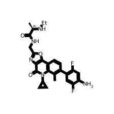 CCN[C@H](C)C(=O)NCc1nc2c(=O)n(C3CC3)c3c(C)c(-c4cc(F)c(N)cc4F)ccc3c2o1